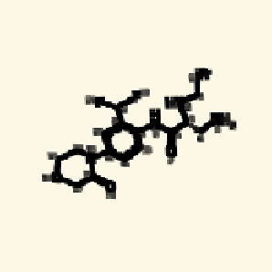 CC(C)CN[C@H](CN)C(=O)Nc1ccc(N2CCOCC2=O)cc1C(F)F